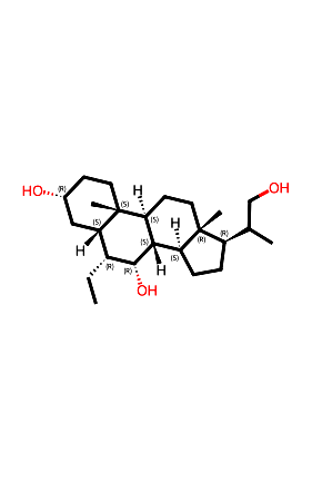 CC[C@H]1[C@@H](O)[C@@H]2[C@H](CC[C@]3(C)[C@@H](C(C)CO)CC[C@@H]23)[C@@]2(C)CC[C@@H](O)C[C@@H]12